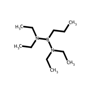 CCCB(N(CC)CC)N(CC)CC